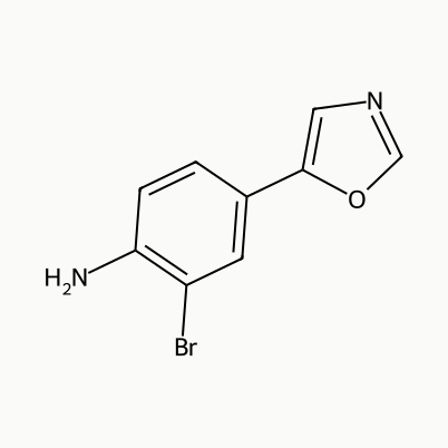 Nc1ccc(-c2cnco2)cc1Br